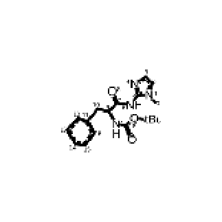 Cn1ccnc1NC(=O)C(Cc1ccccc1)NC(=O)OC(C)(C)C